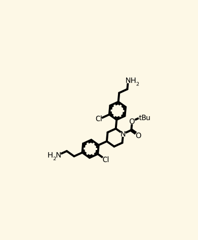 CC(C)(C)OC(=O)N1CCC(c2ccc(CCN)cc2Cl)CC1c1ccc(CCN)cc1Cl